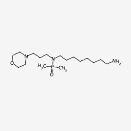 CP(C)(=O)N(CCCCCCCCN)CCCN1CCOCC1